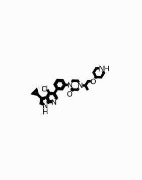 CC(COC1CCNCC1)N1CCN(c2cccc(-c3cnc4[nH]cc(C5CC5)c4c3Cl)c2)C(=O)C1